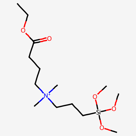 CCOC(=O)CCC[N+](C)(C)CCC[Si](OC)(OC)OC